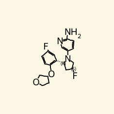 Nc1ccc(N2C[C@@H](F)C[C@@H]2c2cc(F)ccc2OC2CCOC2)cn1